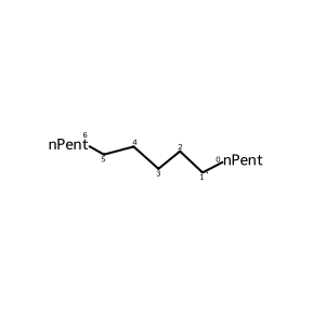 CCCCC[CH]CCCCCCCCC